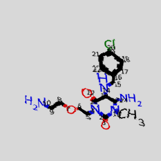 CN1C(=O)N(CCOCCN)C(=O)C(NCc2ccc(Cl)cc2)C1N